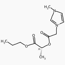 CCCOC(=O)[C@@H](C)OC(=O)C[n+]1ccn(C)c1